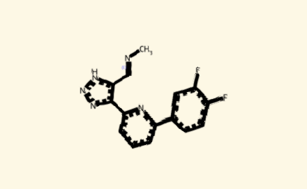 C/N=C/c1[nH]nnc1-c1cccc(-c2ccc(F)c(F)c2)n1